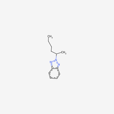 CCCCC(C)n1nc2ccccc2n1